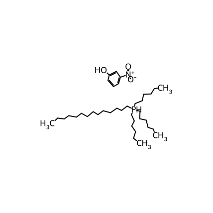 CCCCCCCCCCCCCC[PH](CCCCCC)(CCCCCC)CCCCCC.O=[N+]([O-])c1cccc(O)c1